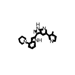 Cc1ccncc1-c1cnc2[nH]nc(-c3cc4c(N5CCCCC5)cccc4[nH]3)c2c1